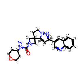 O=C(NC1CCOCC1)N1CC2(CCn3nc(-c4cnc5ccccc5c4)cc32)C1